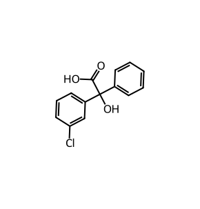 O=C(O)C(O)(c1ccccc1)c1cccc(Cl)c1